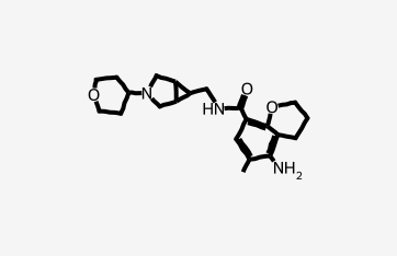 Cc1cc(C(=O)NCC2C3CN(C4CCOCC4)CC23)c2c(c1N)CCCO2